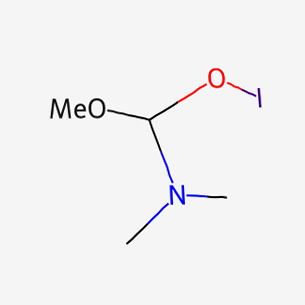 COC(OI)N(C)C